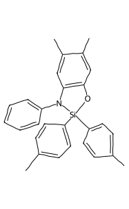 Cc1ccc([Si]2(c3ccc(C)cc3)Oc3cc(C)c(C)cc3N2c2ccccc2)cc1